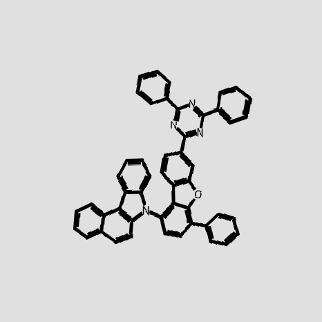 c1ccc(-c2nc(-c3ccccc3)nc(-c3ccc4c(c3)oc3c(-c5ccccc5)ccc(-n5c6ccccc6c6c7ccccc7ccc65)c34)n2)cc1